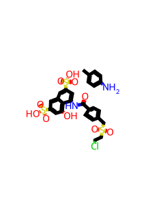 Cc1ccc(N)cc1.O=C(Nc1cc(S(=O)(=O)O)cc2cc(S(=O)(=O)O)cc(O)c12)c1ccc(CS(=O)(=O)CCCl)cc1